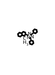 Cc1c(-c2nc(-c3ccccc3)nc(-c3ccccc3)n2)ccc2ccccc12